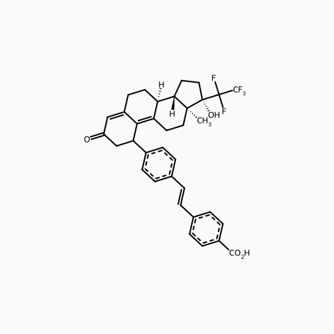 C[C@]12CCC3=C4C(=CC(=O)CC4c4ccc(/C=C/c5ccc(C(=O)O)cc5)cc4)CC[C@H]3[C@@H]1CC[C@@]2(O)C(F)(F)C(F)(F)F